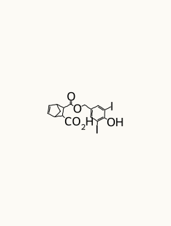 O=C(O)C1C2C=CC(C2)C1C(=O)OCc1cc(I)c(O)c(I)c1